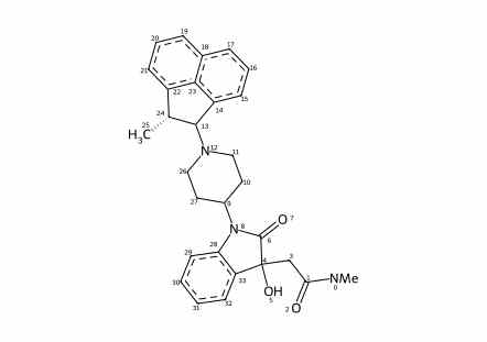 CNC(=O)CC1(O)C(=O)N(C2CCN(C3c4cccc5cccc(c45)[C@H]3C)CC2)c2ccccc21